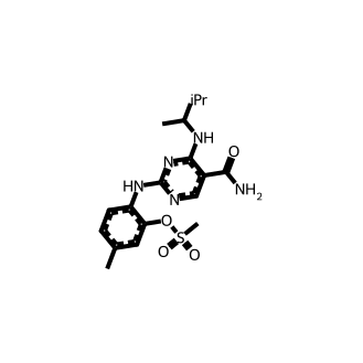 Cc1ccc(Nc2ncc(C(N)=O)c(NC(C)C(C)C)n2)c(OS(C)(=O)=O)c1